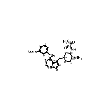 COc1cccc(Nc2ncnn3ccc(CN4CC[C@H](N)[C@@H](NS(C)(=O)=O)C4)c23)c1